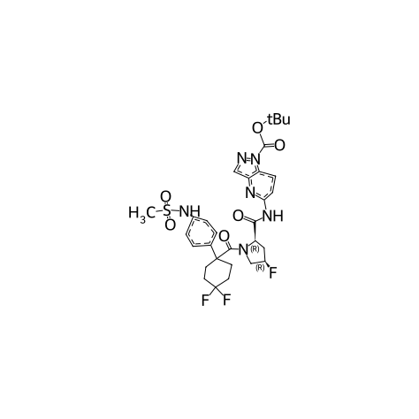 CC(C)(C)OC(=O)n1ncc2nc(NC(=O)[C@H]3C[C@@H](F)CN3C(=O)C3(c4ccc(NS(C)(=O)=O)cc4)CCC(F)(F)CC3)ccc21